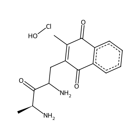 CC1=C(CC(N)C(=O)[C@H](C)N)C(=O)c2ccccc2C1=O.OCl